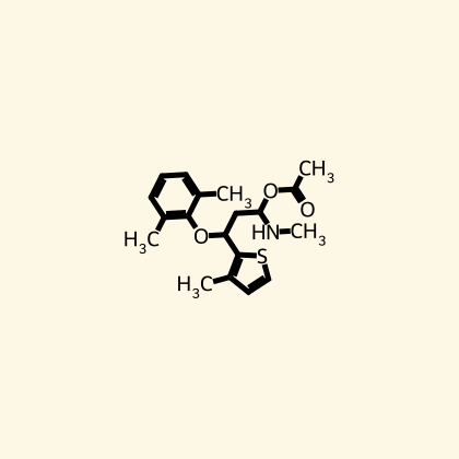 CNC(CC(Oc1c(C)cccc1C)c1sccc1C)OC(C)=O